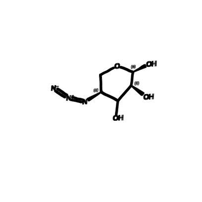 [N-]=[N+]=N[C@H]1CO[C@@H](O)[C@@H](O)C1O